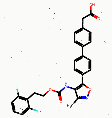 Cc1noc(-c2ccc(-c3ccc(CC(=O)O)cc3)cc2)c1NC(=O)OCCc1c(F)cccc1F